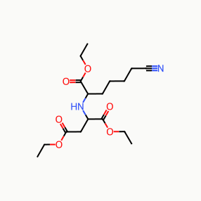 CCOC(=O)CC(NC(CCCCC#N)C(=O)OCC)C(=O)OCC